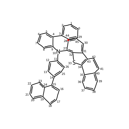 c1ccc(-c2ccccc2N(c2ccc(-c3cccc4ccccc34)cc2)c2cccc3c2sc2c4ccccc4ccc32)cc1